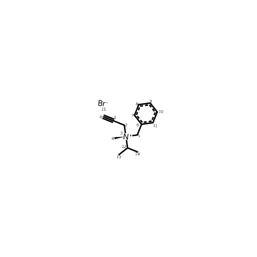 C#CC[N@+](C)(Cc1ccccc1)C(C)C.[Br-]